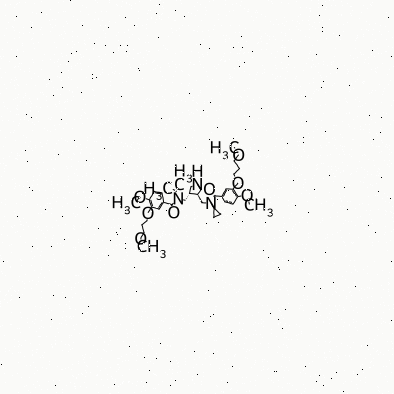 COCCCOc1cc(C(=O)N(C[C@@H]2CNC[C@H]2CN(C(=O)c2ccc(OC)c(OCCCOC)c2)C2CC2)C(C)C)ccc1OC